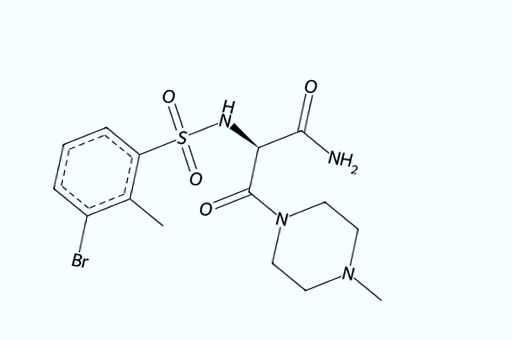 Cc1c(Br)cccc1S(=O)(=O)N[C@@H](C(N)=O)C(=O)N1CCN(C)CC1